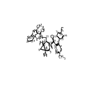 Cc1nc(C(=O)N2C[C@@H]3C[C@@H]3[C@H]2CNC(=O)c2c(C)nc3sccn23)c(-c2ccc(F)cc2)s1